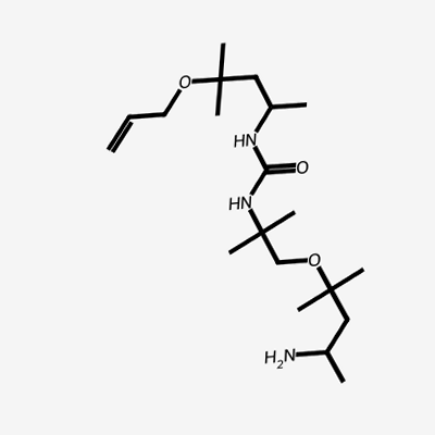 C=CCOC(C)(C)CC(C)NC(=O)NC(C)(C)COC(C)(C)CC(C)N